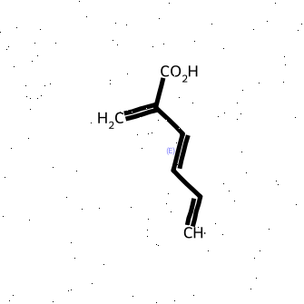 [CH]=C/C=C/C(=C)C(=O)O